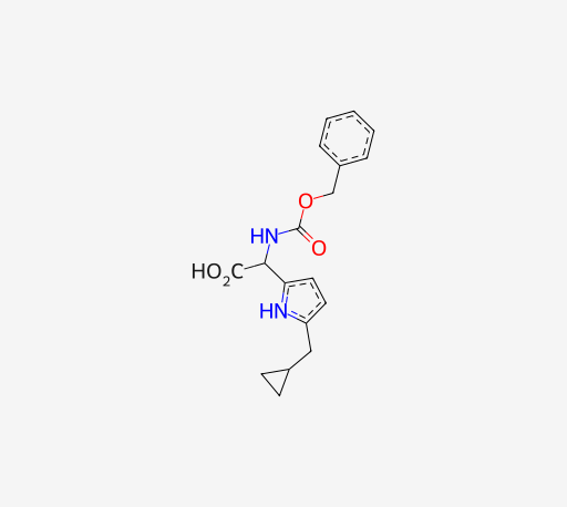 O=C(NC(C(=O)O)c1ccc(CC2CC2)[nH]1)OCc1ccccc1